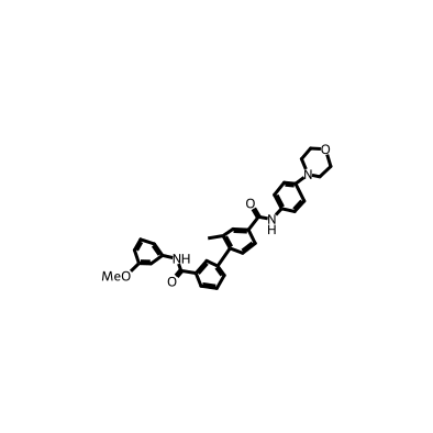 COc1cccc(NC(=O)c2cccc(-c3ccc(C(=O)Nc4ccc(N5CCOCC5)cc4)cc3C)c2)c1